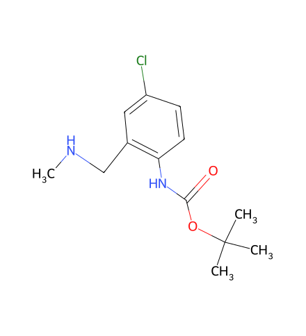 CNCc1cc(Cl)ccc1NC(=O)OC(C)(C)C